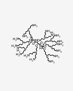 NCCCN(CCCN)CCCOCC(COCCCN(CCCN)CCCN)(NC(=O)C(OCCCN(CCCN)CCCN)C(OCCCN(CCCN)CCCN)C(=O)NC(COCCCN(CCCN)CCCN)(COCCCN(CCCN)CCCN)OCCCN(CCCN)CCCN)OCCCN(CCCN)CCCN